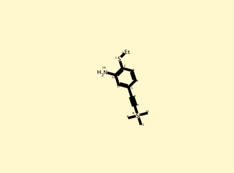 CCSc1ccc(C#C[Si](C)(C)C)cc1N